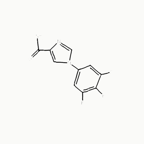 NC(=O)c1cn(-c2cc(F)c(F)c(F)c2)cn1